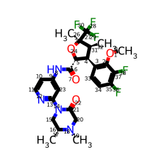 COc1c([C@H]2[C@H](C(=O)Nc3ccnc(N4C[C@@H](C)N(C)CC4=O)c3)O[C@@](C)(C(F)(F)F)[C@H]2C)ccc(F)c1F